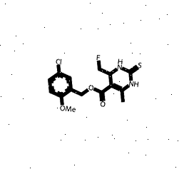 COc1ccc(Cl)cc1COC(=O)C1=C(C)NC(=S)NC1CF